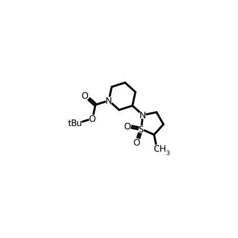 CC1CCN(C2CCCN(C(=O)OC(C)(C)C)C2)S1(=O)=O